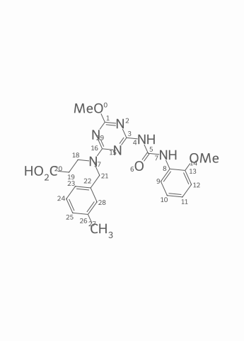 COc1nc(NC(=O)Nc2ccccc2OC)nc(N(CCC(=O)O)Cc2cccc(C)c2)n1